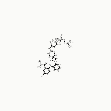 CCN(C(=O)c1cc(F)ccc1Oc1cncnc1N1CC2(CCN(C[C@@H]3CC[C@@H](NS(=O)(=O)CCN(C)C)CO3)CC2)C1)C(C)C